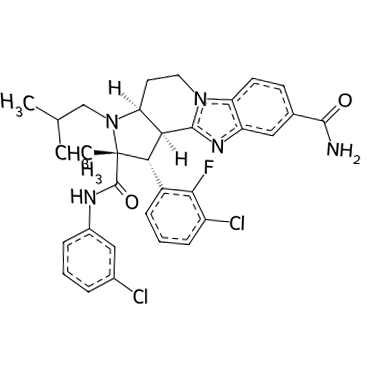 CC(C)CN1[C@H]2CCn3c(nc4cc(C(N)=O)ccc43)[C@H]2[C@H](c2cccc(Cl)c2F)[C@]1(C)C(=O)Nc1cccc(Cl)c1